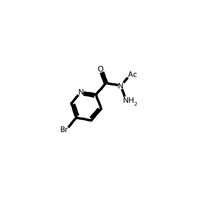 CC(=O)N(N)C(=O)c1ccc(Br)cn1